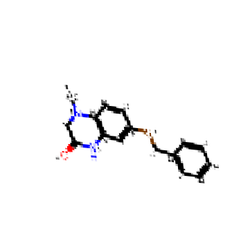 CC(=O)N1CC(=O)Nc2cc(SCc3ccccc3)ccc21